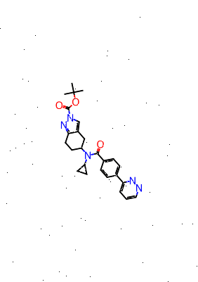 CC(C)(C)OC(=O)n1cc2c(n1)CCC(N(C(=O)c1ccc(-c3cccnn3)cc1)C1CC1)C2